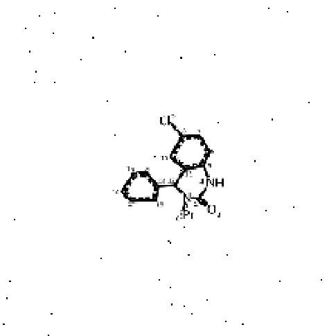 CC(C)N1C(=O)Nc2ccc(Cl)cc2C1c1ccccc1